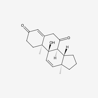 C[C@]12CCC(=O)C=C1CC(=O)[C@H]1[C@@H]3CCC[C@@]3(C)C=C[C@@]12O